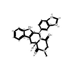 CN1CC(=O)N2[C@H](c3ccc4c(c3)OCO4)c3[nH]c4ccccc4c3C[C@H]2C1=O